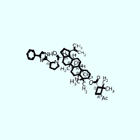 C=C(C)[C@@H]1CC[C@]2(C(=O)N3CCC[C@H]3c3nc(-c4ccccc4)c[nH]3)CC[C@]3(C)[C@H](CC[C@@H]4[C@@]5(C)CC[C@H](OC(=O)[C@H]6C[C@@H](C(C)=O)C6(C)C)C(C)(C)[C@@H]5CC[C@]43C)[C@@H]12